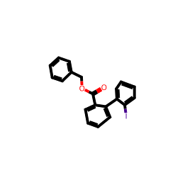 O=C(OCc1ccccc1)c1ccccc1-c1ccccc1I